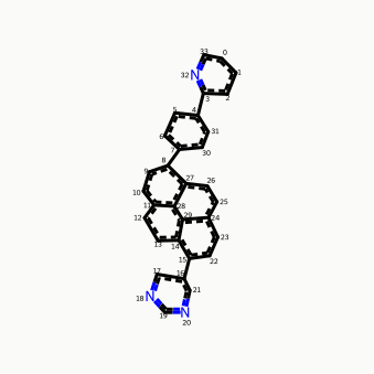 c1ccc(-c2ccc(-c3ccc4ccc5c(-c6cncnc6)ccc6ccc3c4c65)cc2)nc1